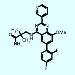 COc1cc(-c2ccc(F)cc2F)cc2c(NCC(C)(C)C(N)=O)nc(-c3cccnc3)nc12